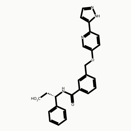 O=C(O)C[C@H](NC(=O)c1cccc(COc2ccc(-c3ccn[nH]3)nc2)c1)c1ccccc1